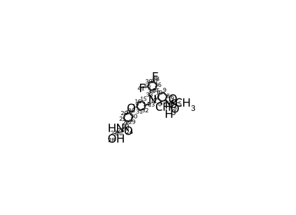 Cc1c(NS(C)(=O)=O)cccc1N(Cc1ccc(Oc2ccc(C(=O)NCCO)cc2)cc1)Cc1ccc(F)cc1F